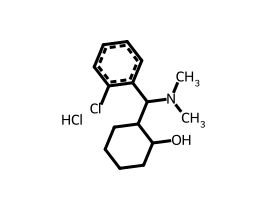 CN(C)C(c1ccccc1Cl)C1CCCCC1O.Cl